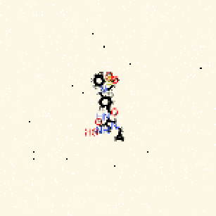 O=C(N[C@@H]1CN(CC2CC2)C[C@@H]1C(=O)NO)c1ccc(CN2CCS(=O)(=O)c3ccccc32)cc1